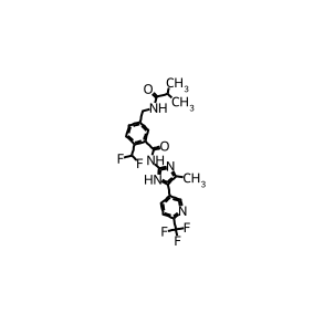 Cc1nc(NC(=O)c2cc(CNC(=O)C(C)C)ccc2C(F)F)[nH]c1-c1ccc(C(F)(F)F)nc1